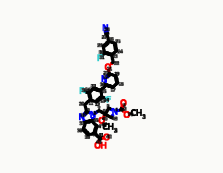 COC(=O)N1CC(Cn2c(Cc3cc(F)c(-c4cccc(OCc5ccc(C#N)cc5F)n4)cc3F)nc3ccc(C(=O)O)cc32)(OC)C1